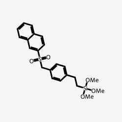 CO[Si](CCc1ccc(CS(=O)(=O)c2ccc3ccccc3c2)cc1)(OC)OC